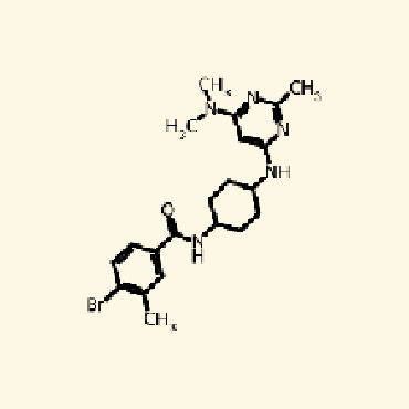 Cc1nc(NC2CCC(NC(=O)c3ccc(Br)c(C)c3)CC2)cc(N(C)C)n1